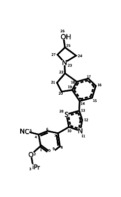 C=C(OC(C)C)/C(C#N)=C\C(=C/C)c1ncc(-c2cccc3c2CCC3N2CC(O)C2)s1